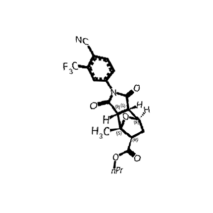 CCCOC(=O)[C@@H]1C[C@H]2O[C@@]1(C)[C@@H]1C(=O)N(c3ccc(C#N)c(C(F)(F)F)c3)C(=O)[C@@H]12